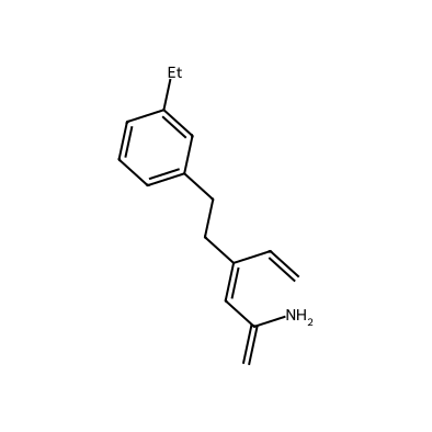 C=C/C(=C\C(=C)N)CCc1cccc(CC)c1